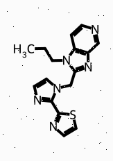 CCCn1c(Cn2ccnc2-c2nccs2)nc2cnccc21